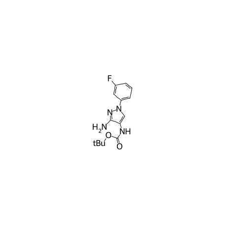 CC(C)(C)OC(=O)Nc1cn(-c2cccc(F)c2)nc1N